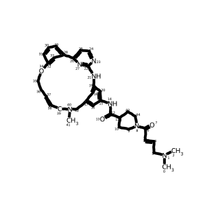 CN(C)C/C=C/C(=O)N1CCC(C(=O)Nc2cc3cc(c2)Nc2nccc(n2)-c2cccc(c2)OCC/C=C/CN(C)C3)CC1